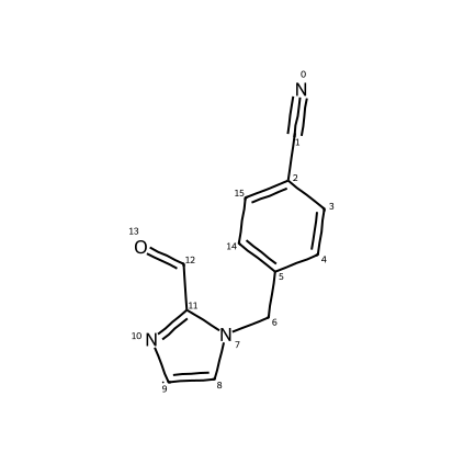 N#Cc1ccc(Cn2c[c]nc2C=O)cc1